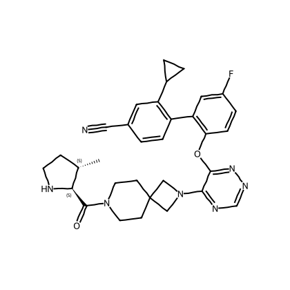 C[C@H]1CCN[C@@H]1C(=O)N1CCC2(CC1)CN(c1ncnnc1Oc1ccc(F)cc1-c1ccc(C#N)cc1C1CC1)C2